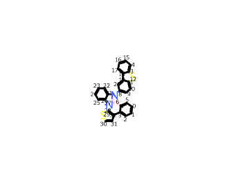 c1ccc2c(c1)B1N(c3ccc4sc5ccccc5c4c3)c3ccccc3N1c1sccc1-2